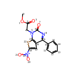 COC(=O)Cn1c(=O)nc(-c2ccccc2)c2cc([N+](=O)[O-])sc21